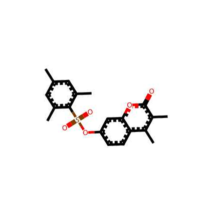 Cc1cc(C)c(S(=O)(=O)Oc2ccc3c(C)c(C)c(=O)oc3c2)c(C)c1